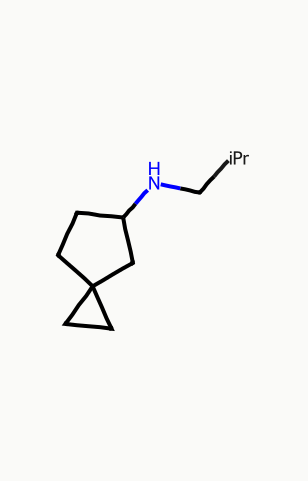 CC(C)CNC1CCC2(CC2)C1